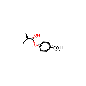 C=C(C)C(O)Oc1ccc(C(=O)O)cc1